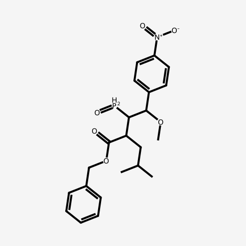 COC(c1ccc([N+](=O)[O-])cc1)C([PH2]=O)C(CC(C)C)C(=O)OCc1ccccc1